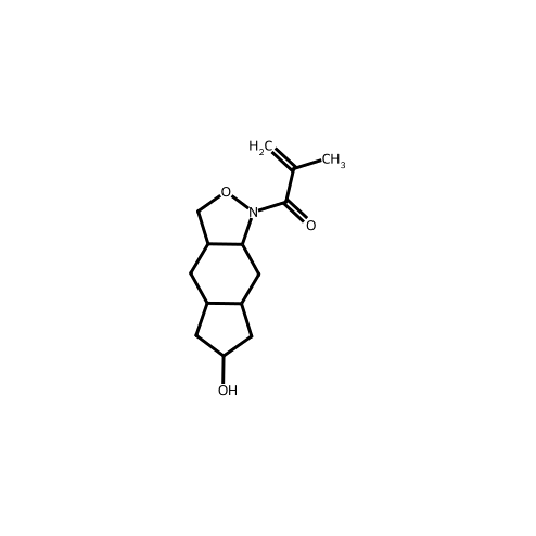 C=C(C)C(=O)N1OCC2CC3CC(O)CC3CC21